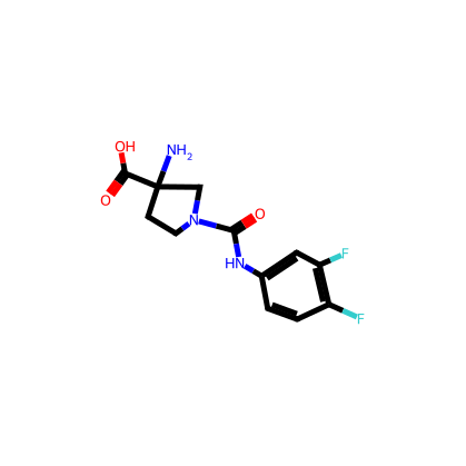 NC1(C(=O)O)CCN(C(=O)Nc2ccc(F)c(F)c2)C1